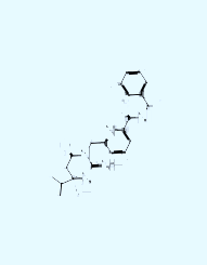 CC(C)[C@]1(C)CC(=O)N(Cc2cccc(C(=O)N[C@@H](C)c3ccccc3)n2)C(=N)N1